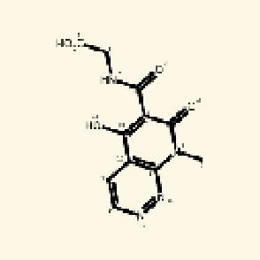 Cn1c(=O)c(C(=O)NCC(=O)O)c(O)c2ccnnc21